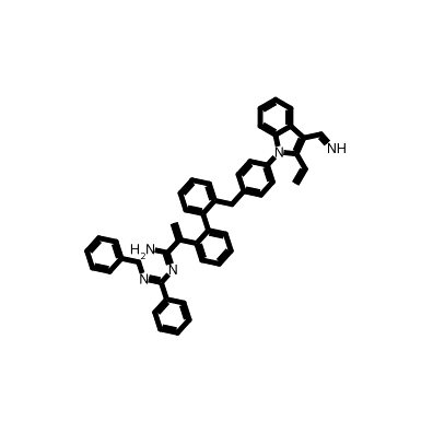 C=Cc1c(C=N)c2ccccc2n1-c1ccc(Cc2ccccc2-c2ccccc2C(=C)/C(N)=N/C(=N\Cc2ccccc2)c2ccccc2)cc1